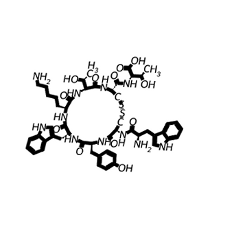 C[C@@H](O)[C@H](NC(=O)[C@@H]1CSSC[C@H](NC(=O)[C@H](N)Cc2c[nH]c3ccccc23)C(=O)N[C@@H](Cc2ccc(O)cc2)C(=O)N[C@H](Cc2c[nH]c3ccccc23)C(=O)N[C@@H](CCCCCN)C(=O)N[C@@H]([C@@H](C)O)C(=O)N1)C(=O)O